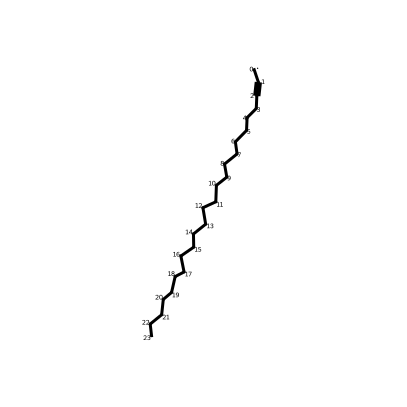 [CH2]C#CCCCCCCCCCCCCCCCCCCCCC